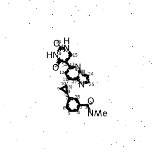 CNC(=O)c1cccc([C@H]2C[C@@H]2c2cc(-c3c[nH]c(=O)[nH]c3=O)nn3ccnc23)c1